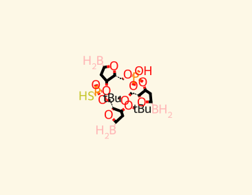 B[C@H]1CC(OC(C)(C)C)[C@@H](COP(=O)(S)OC2C[C@H](B)O[C@@H]2COP(=O)(O)OC2C[C@H](B)O[C@@H]2COC(C)(C)C)O1